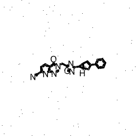 N#Cc1ccc2c(=O)n(Cc3nc(C4C5C=C(c6ccccc6)C[C@H]54)no3)cnc2n1